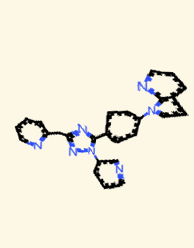 c1ccc(-c2nc(-c3ccc(-n4ccc5cccnc54)cc3)n(-c3cccnc3)n2)nc1